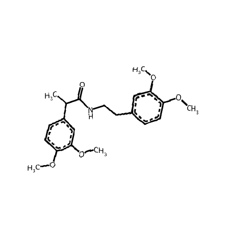 COc1ccc(CCNC(=O)C(C)c2ccc(OC)c(OC)c2)cc1OC